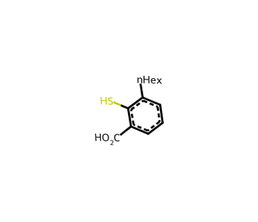 CCCCCCc1cccc(C(=O)O)c1S